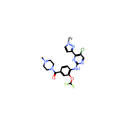 CC(C)n1ccc(-c2nc(Nc3ccc(C(=O)N4CCN(C)CC4)cc3OC(F)F)ncc2Cl)n1